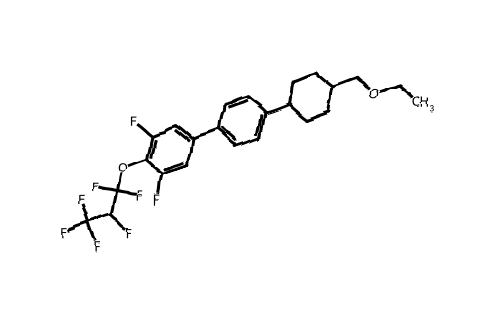 CCOCC1CCC(c2ccc(-c3cc(F)c(OC(F)(F)C(F)C(F)(F)F)c(F)c3)cc2)CC1